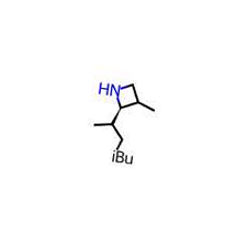 CCC(C)CC(C)[C@H]1NCC1C